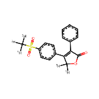 [2H]C1([2H])OC(=O)C(c2ccccc2)=C1c1ccc(S(=O)(=O)C([2H])([2H])[2H])cc1